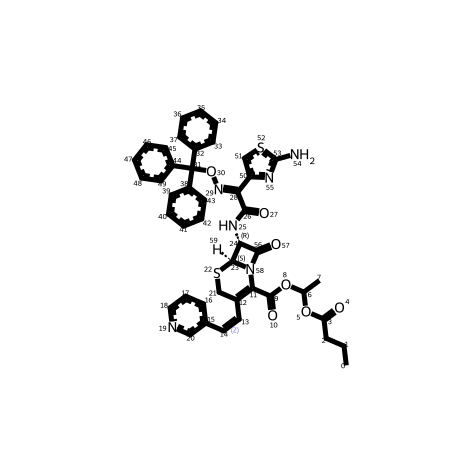 CCCC(=O)OC(C)OC(=O)C1=C(/C=C\c2cccnc2)CS[C@H]2[C@H](NC(=O)C(=NOC(c3ccccc3)(c3ccccc3)c3ccccc3)c3csc(N)n3)C(=O)N12